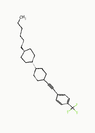 CCCCCC[C@H]1CC[C@H](C2CCC(C#Cc3ccc(C(F)(F)F)cc3)CC2)CC1